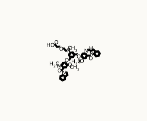 C=Nc1cc(OCc2cc(COc3cc4c(cc3OC)C(=O)N3c5ccccc5C[C@H]3C=N4)cc(N(C)CCOCCC(=O)O)c2)c(OC)cc1C(=O)N1CCc2ccccc21